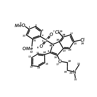 COc1ccc(S(=O)(=O)n2c(-c3ccccc3)c(OCCN(C)C)c3cc(Cl)cc(Cl)c32)c(OC)c1